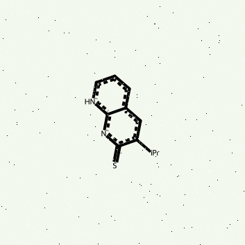 CC(C)c1cc2ccc[nH]c-2nc1=S